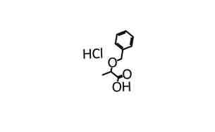 CC(OCc1ccccc1)C(=O)O.Cl